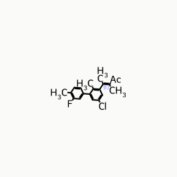 CC(=O)/C(C)=C(\C)c1cc(Cl)cc(-c2ccc(C)c(F)c2)c1C